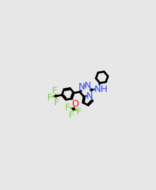 FC(F)(F)Oc1cc(C(F)(F)F)ccc1-c1nnc(NC2CCCCC2)n2cccc12